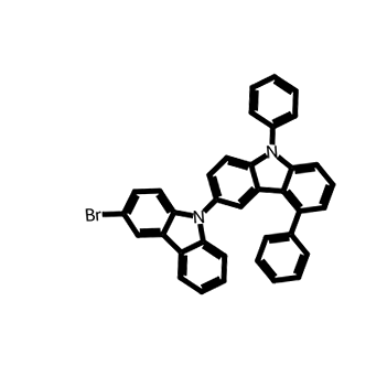 Brc1ccc2c(c1)c1ccccc1n2-c1ccc2c(c1)c1c(-c3ccccc3)cccc1n2-c1ccccc1